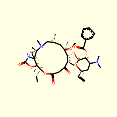 C=C[C@@H]1CC(N(C)C)[C@@H](OC(=O)c2ccccc2)[C@H](O[C@@H]2[C@@H](C)C(=O)CC(=O)O[C@H](CC)[C@@]3(C)OC(=O)N[C@@H]3[C@@H](C)N(C)C[C@H](C)C[C@@]2(C)OC)O1